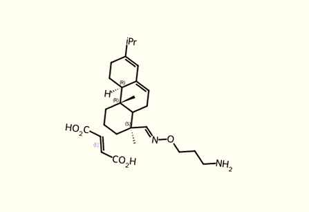 CC(C)C1=CC2=CCC3[C@@](C)(C=NOCCCN)CCC[C@]3(C)[C@H]2CC1.O=C(O)/C=C/C(=O)O